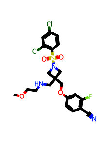 COCCNCC1(COc2ccc(C#N)c(F)c2)CN(S(=O)(=O)c2ccc(Cl)cc2Cl)C1